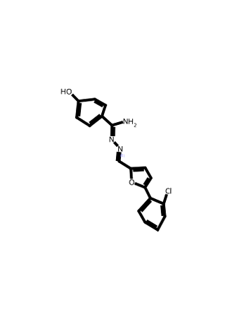 NC(=N/N=C/c1ccc(-c2ccccc2Cl)o1)c1ccc(O)cc1